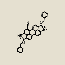 N#Cc1ccc2c3ccc(C(=O)OCc4ccccc4)c4c(C#N)cc(C#N)c(c5ccc(C(=O)OCc6ccccc6)c1c25)c43